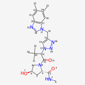 CNC(=O)[C@@H]1C[C@@H](O)CN1C(=O)C(n1cc(Cn2cnc3cc(C)c(C)cc32)nn1)C(C)(C)C